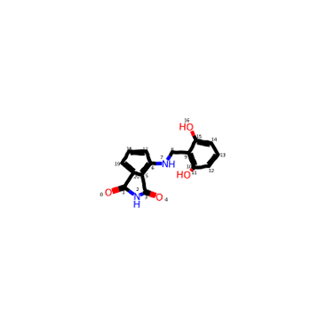 O=C1NC(=O)c2c(NCc3c(O)cccc3O)cccc21